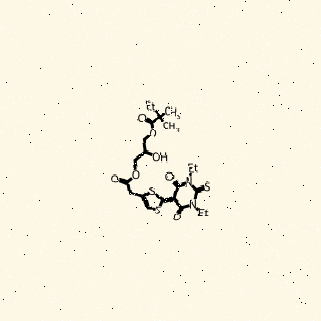 CCN1C(=O)C(=C2SC=C(CC(=O)OCC(O)COC(=O)C(C)(C)CC)S2)C(=O)N(CC)C1=S